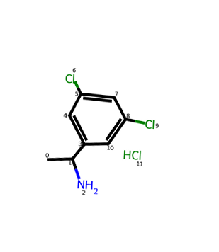 CC(N)c1cc(Cl)cc(Cl)c1.Cl